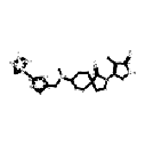 CC1=C(N2CCC3(CCC(N(C)Cc4cnc(-n5cnnn5)s4)CC3)C2=O)COC1=O